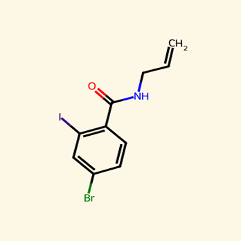 C=CCNC(=O)c1ccc(Br)cc1I